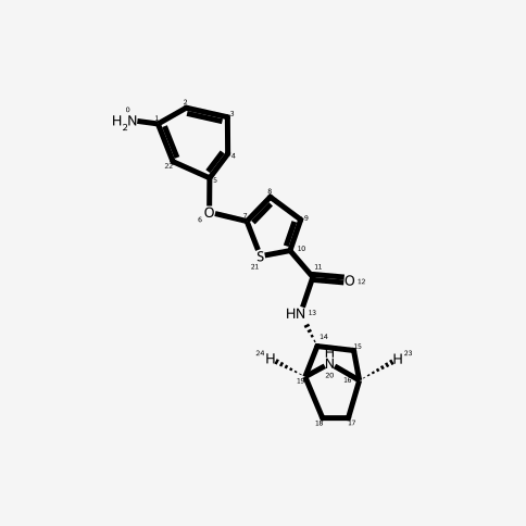 Nc1cccc(Oc2ccc(C(=O)N[C@@H]3C[C@H]4CC[C@@H]3N4)s2)c1